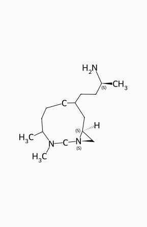 CC1CCCC(CC[C@H](C)N)C[C@H]2C[N@@]2CN1C